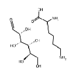 NCCCCC(N)C(=O)O.O=C[C@H](O)[C@@H](O)[C@H](O)[C@H](O)CO